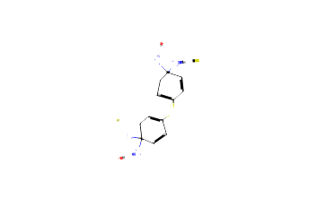 O=C=NC1(N=C=S)C=CC(SC2=CCC(N=C=O)(N=C=S)C=C2)=CC1